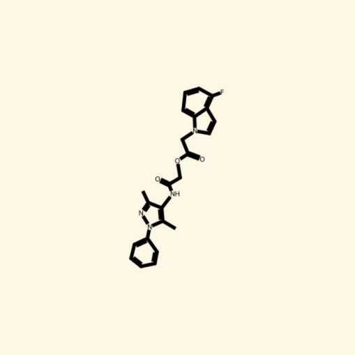 Cc1nn(-c2ccccc2)c(C)c1NC(=O)COC(=O)Cn1ccc2c(F)cccc21